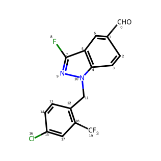 O=Cc1ccc2c(c1)c(F)nn2Cc1ccc(Cl)cc1C(F)(F)F